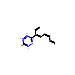 C=C/C=C\C=C(/C=C)c1nncnn1